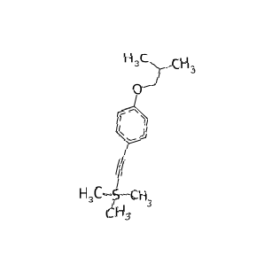 CC(C)COc1ccc(C#CS(C)(C)C)cc1